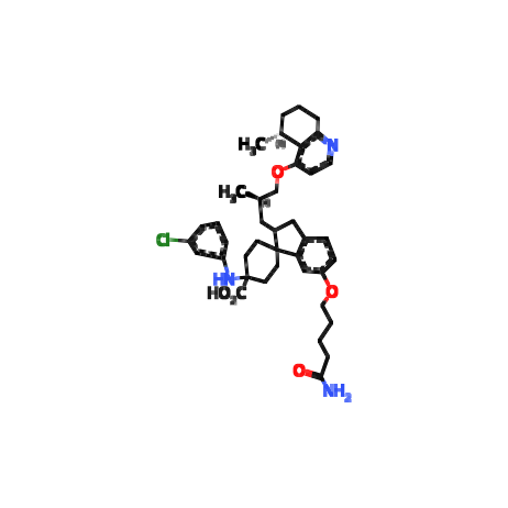 C[C@@H](COc1ccnc2c1[C@H](C)CCC2)CC1Cc2ccc(OCCCCC(N)=O)cc2C12CCC(Nc1cccc(Cl)c1)(C(=O)O)CC2